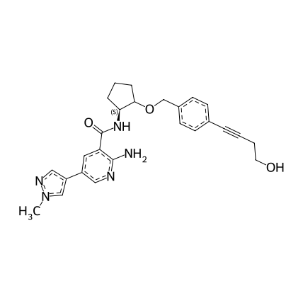 Cn1cc(-c2cnc(N)c(C(=O)N[C@H]3CCCC3OCc3ccc(C#CCCO)cc3)c2)cn1